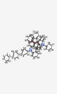 c1ccc(-c2ccc(-c3ccc(N(c4ccc5c(c4)C4(c6ccccc6-5)c5ccccc5N(c5ccccc5)c5ccccc54)c4ccccc4-c4cccc(-c5ccccc5)c4)cc3)cc2)cc1